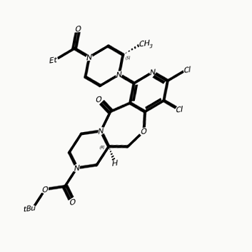 CCC(=O)N1CCN(c2nc(Cl)c(Cl)c3c2C(=O)N2CCN(C(=O)OC(C)(C)C)C[C@@H]2CO3)[C@@H](C)C1